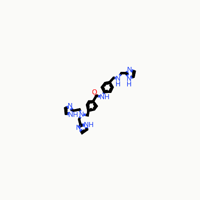 O=C(Nc1ccc(CNCc2ncc[nH]2)cc1)c1ccc(CN(Cc2ncc[nH]2)Cc2ncc[nH]2)cc1